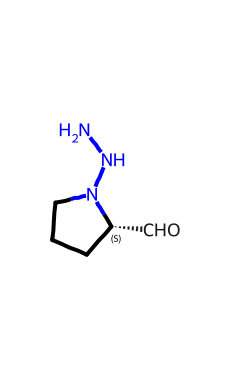 NNN1CCC[C@H]1C=O